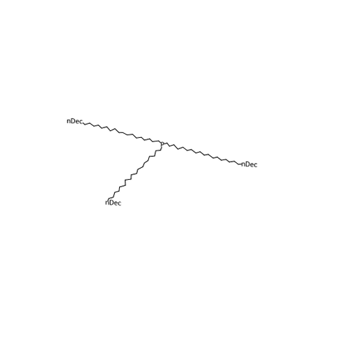 CCCCCCCCCCCCCCCCCCCCCCCCCCCCP(CCCCCCCCCCCCCCCCCCCCCCCCCCCC)CCCCCCCCCCCCCCCCCCCCCCCCCCCC